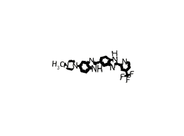 CN1CCN(c2ccc3[nH]c(-c4ccc5[nH]c(-c6cc(C(F)(F)F)ccn6)nc5c4)nc3c2)CC1